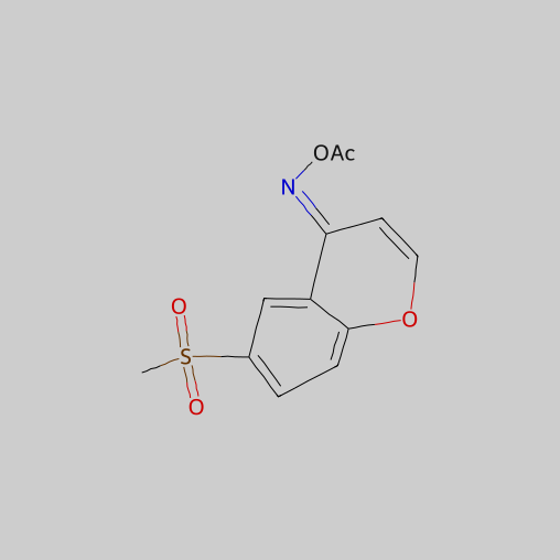 CC(=O)ON=c1ccoc2ccc(S(C)(=O)=O)cc12